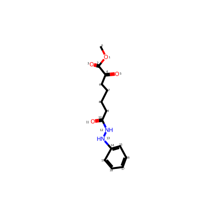 COC(=O)C(=O)CCCCC(=O)NNc1ccccc1